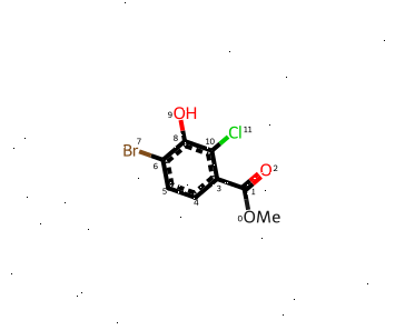 COC(=O)c1ccc(Br)c(O)c1Cl